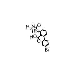 NC(=O)Nc1cccc(-c2ccc(Br)cc2)c1C(=O)O